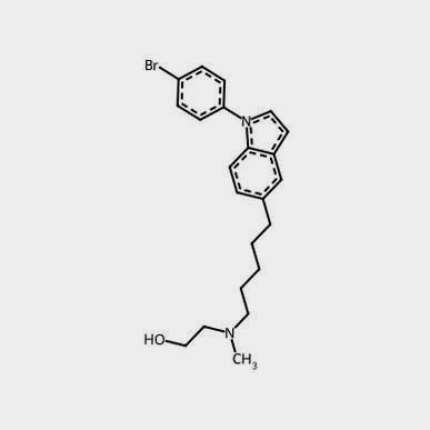 CN(CCO)CCCCCc1ccc2c(ccn2-c2ccc(Br)cc2)c1